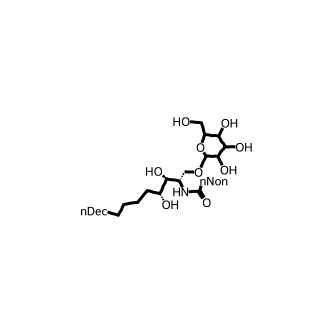 CCCCCCCCCCCCCC[C@@H](O)[C@@H](O)[C@H](COC1OC(CO)C(O)C(O)C1O)NC(=O)CCCCCCCCC